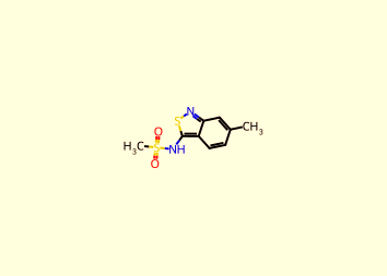 Cc1ccc2c(NS(C)(=O)=O)snc2c1